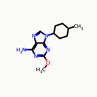 COc1nc(N)c2ncn(C3CCC(C)CC3)c2n1